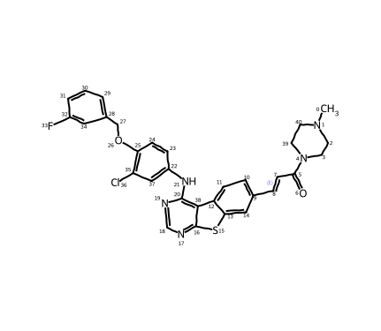 CN1CCN(C(=O)/C=C/c2ccc3c(c2)sc2ncnc(Nc4ccc(OCc5cccc(F)c5)c(Cl)c4)c23)CC1